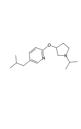 CC(C)Cc1ccc(OC2CCN(C(C)C)C2)nc1